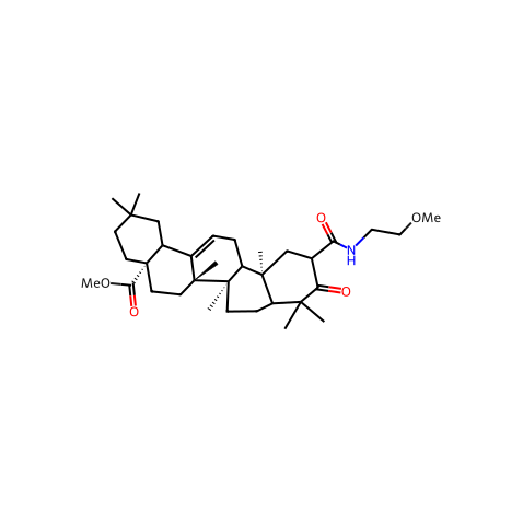 COCCNC(=O)C1C[C@@]2(C)C(CC[C@]3(C)C2CC=C2C4CC(C)(C)CC[C@]4(C(=O)OC)CC[C@]23C)C(C)(C)C1=O